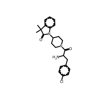 CC1(C)C(=O)N(C2CCN(C(=O)C(N)Cc3ccc(Cl)cc3)CC2)c2ccccc21